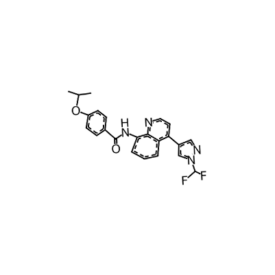 CC(C)Oc1ccc(C(=O)Nc2cccc3c(-c4cnn(C(F)F)c4)ccnc23)cc1